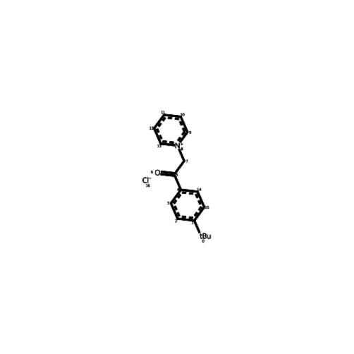 CC(C)(C)c1ccc(C(=O)C[n+]2ccccc2)cc1.[Cl-]